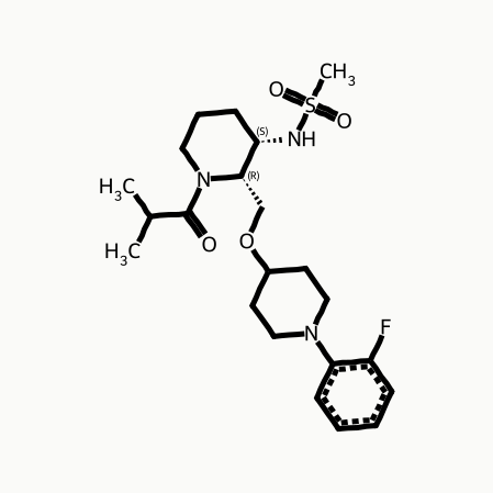 CC(C)C(=O)N1CCC[C@H](NS(C)(=O)=O)[C@@H]1COC1CCN(c2ccccc2F)CC1